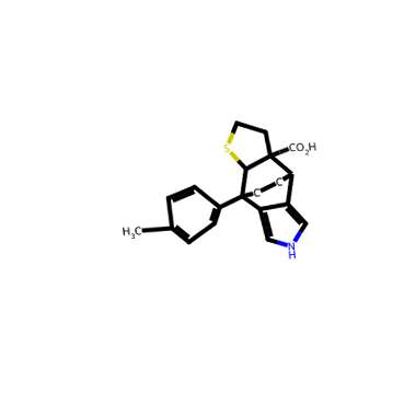 Cc1ccc(C23CCC(c4c[nH]cc42)C2(C(=O)O)CCSC32)cc1